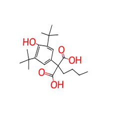 CCCCC(C(=O)O)(C(=O)O)c1cc(C(C)(C)C)c(O)c(C(C)(C)C)c1